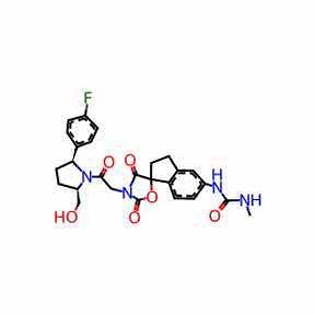 CNC(=O)Nc1ccc2c(c1)CCC21OC(=O)N(CC(=O)N2[C@@H](CO)CC[C@H]2c2ccc(F)cc2)C1=O